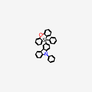 c1ccc(-n2c3ccccc3c3cc([Si]4(c5ccccc5)c5ccccc5Oc5ccccc54)ccc32)cc1